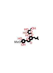 COc1c(O)cc(-c2cc(=O)c3cc(CC=C(C)C)c(O[C@@H]4O[C@H](CO)[C@@H](O)[C@H](O)[C@H]4O)cc3o2)cc1O